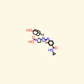 O=C(NC1CC1)c1ccc2nc(NC3CCN(C(=O)O)[C@@H]3C3C4CC5C[C@H]3C[C@@](O)(C5)C4)sc2c1